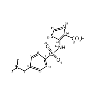 CN(C)Cc1ccc(S(=O)(=O)Nc2scnc2C(=O)O)cc1